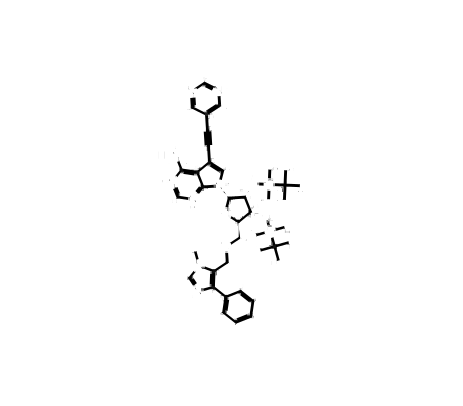 Cn1cnc(-c2ccccc2)c1CSC[C@H]1O[C@@H](n2cc(C#Cc3cncnc3)c3c(N)ncnc32)[C@H](O[Si](C)(C)C(C)(C)C)[C@@H]1O[Si](C)(C)C(C)(C)C